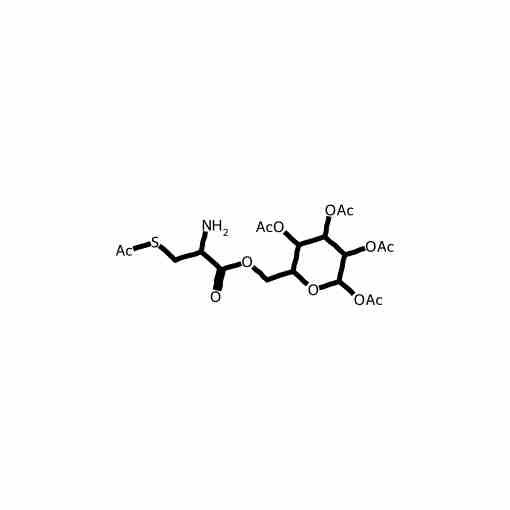 CC(=O)OC1OC(COC(=O)C(N)CSC(C)=O)C(OC(C)=O)C(OC(C)=O)C1OC(C)=O